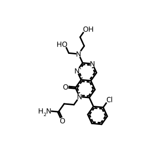 NC(=O)CCn1c(-c2ccccc2Cl)cc2cnc(N(CO)CCO)nc2c1=O